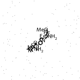 COCC(F)(F)C1CN(c2nc3c(cc2F)CC(NC(=O)c2sc4nc(C)nc(C)c4c2N)CC3)CC1N